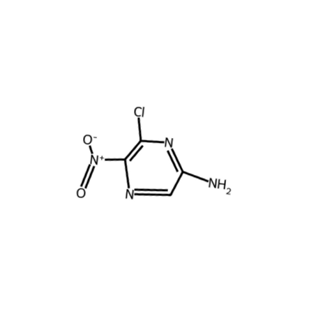 Nc1cnc([N+](=O)[O-])c(Cl)n1